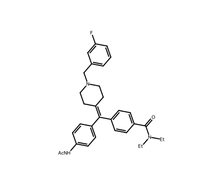 CCN(CC)C(=O)c1ccc(C(=C2CCN(Cc3cccc(F)c3)CC2)c2ccc(NC(C)=O)cc2)cc1